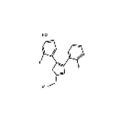 CNCc1cc(-c2ccccc2F)c(-c2ccccc2F)s1.Cl